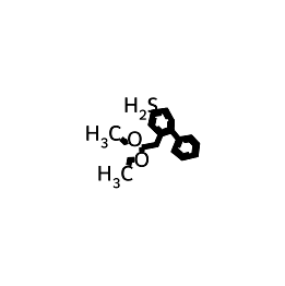 CCOC(Cc1ccccc1-c1ccccc1)OCC.S